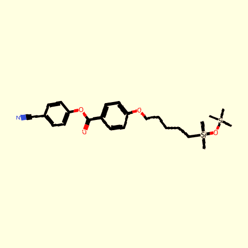 C[Si](C)(C)O[Si](C)(C)CCCCCOc1ccc(C(=O)Oc2ccc(C#N)cc2)cc1